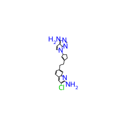 Nc1nc2cc(CCC3=CC(n4ccc5c(N)ncnc54)CC3)ccc2cc1Cl